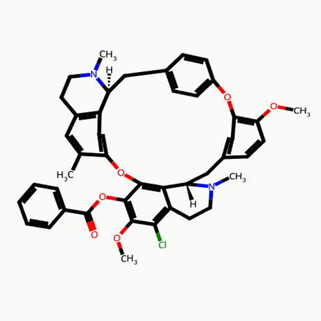 COc1ccc2cc1Oc1ccc(cc1)C[C@H]1c3cc(c(C)cc3CCN1C)Oc1c(OC(=O)c3ccccc3)c(OC)c(Cl)c3c1[C@H](C2)N(C)CC3